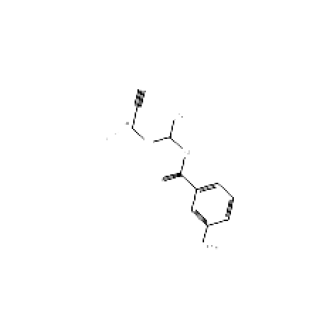 C#C[C@@H](C)OC(C#N)NC(=O)c1cccc(OC)c1